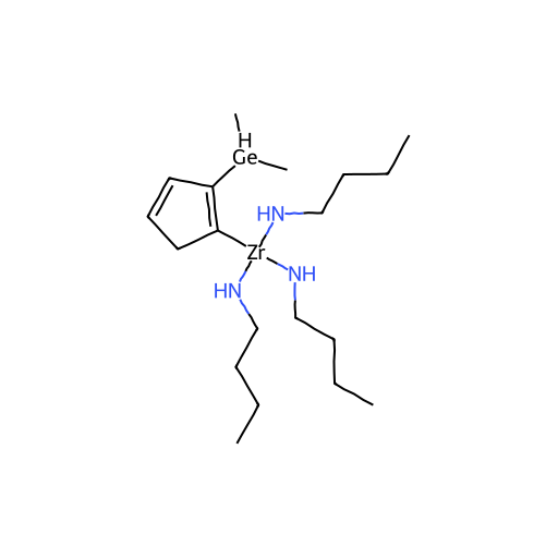 CCCC[NH][Zr]([NH]CCCC)([NH]CCCC)[C]1=[C]([GeH]([CH3])[CH3])C=CC1